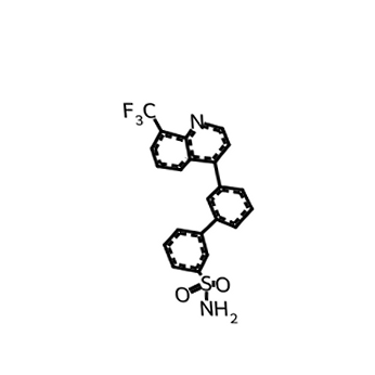 NS(=O)(=O)c1cccc(-c2cccc(-c3ccnc4c(C(F)(F)F)cccc34)c2)c1